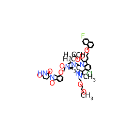 COCCOCCn1nc(C)c(-c2c(Cl)ccc3c(CCCOc4cccc5cc(F)ccc45)c(C(=O)OC(C)(C)C)n(CCN4CCN(C(=O)COc5cccc6c5CN(C5CCC(=O)NC5=O)C6=O)CC4)c23)c1C